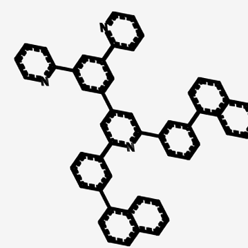 c1ccc(-c2cc(-c3cc(-c4cccc(-c5cccc6ccccc56)c4)nc(-c4cccc(-c5cccc6ccccc56)c4)c3)cc(-c3ccccn3)c2)nc1